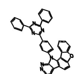 c1ccc(-c2nc(-c3ccccc3)nc(-c3ccc(-n4c5nnccc5c5ccc6oc7ccccc7c6c54)cc3)n2)cc1